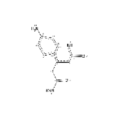 CNC(=O)Cc1cc(=O)[nH]c2cc(N)ccc12